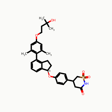 Cc1cc(OCCC(C)(C)O)cc(C)c1-c1cccc2c1CC[C@H]2Oc1ccc(C2CC(=O)NS(=O)(=O)C2)cc1